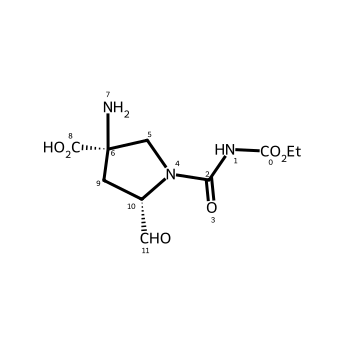 CCOC(=O)NC(=O)N1C[C@@](N)(C(=O)O)C[C@H]1C=O